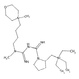 CC[N+](CC)(CC)CC1CCCN1C(=N)NC(=N)N(C)CCCC[N+]1(C)CCOCC1